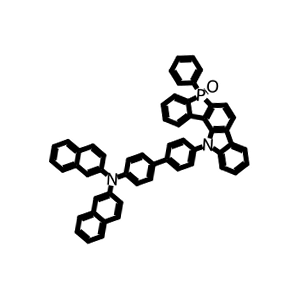 O=P1(c2ccccc2)c2ccccc2-c2c1ccc1c3ccccc3n(-c3ccc(-c4ccc(N(c5ccc6ccccc6c5)c5ccc6ccccc6c5)cc4)cc3)c21